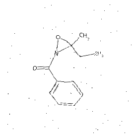 CCC1(C)ON1C(=O)c1ccccc1